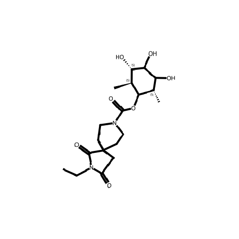 CCN1C(=O)CC2(CCN(C(=O)OC3[C@@H](C)C(O)C(O)[C@@H](O)[C@@H]3C)CC2)C1=O